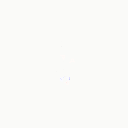 COc1cc(-c2noc(C)n2)c(C(F)(F)F)cc1OCc1ccccc1